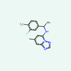 Cc1cc(NC(c2ccc(C(F)(F)F)c(F)c2)C(C)(C)C)n2ncnc2c1